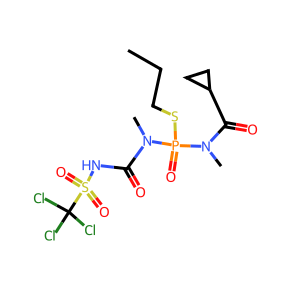 CCCSP(=O)(N(C)C(=O)NS(=O)(=O)C(Cl)(Cl)Cl)N(C)C(=O)C1CC1